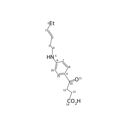 CCC=CCCNc1ccc(C(=O)CCC(=O)O)cc1